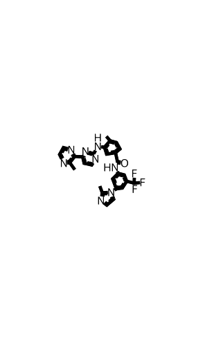 Cc1ccc(C(=O)Nc2cc(-n3ccnc3C)cc(C(F)(F)F)c2)cc1Nc1nccc(-c2nccnc2C)n1